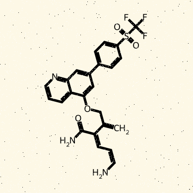 C=C(COc1cc(-c2ccc(S(=O)(=O)C(F)(F)F)cc2)cc2ncccc12)/C(=C\C=C/N)C(N)=O